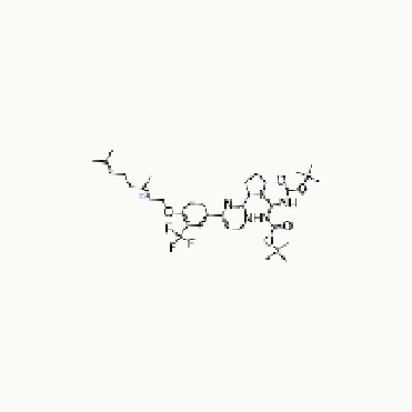 CC(C)=CCC/C(C)=C/COc1ccc(C2=CCNC(C3CCCN3C(=NC(=O)OC(C)(C)C)NC(=O)OC(C)(C)C)=N2)cc1C(F)(F)F